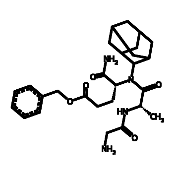 C[C@H](NC(=O)CN)C(=O)N(C1C2CC3CC(C2)CC1C3)[C@H](CCC(=O)OCc1ccccc1)C(N)=O